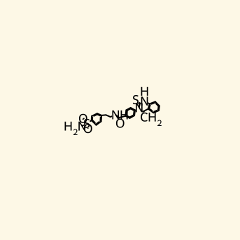 C=C1c2ccccc2NC(=S)N1c1ccc(C(=O)NCCc2ccc(S(N)(=O)=O)cc2)cc1